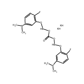 CN(C)c1ccc(F)c(OBOC(=O)OBOc2cc(N(C)C)ccc2F)c1.[KH].[KH]